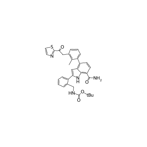 Cc1c(CC(=O)c2nccs2)cccc1-c1ccc(C(N)=O)c2[nH]c(-c3ccccc3CNC(=O)OC(C)(C)C)cc12